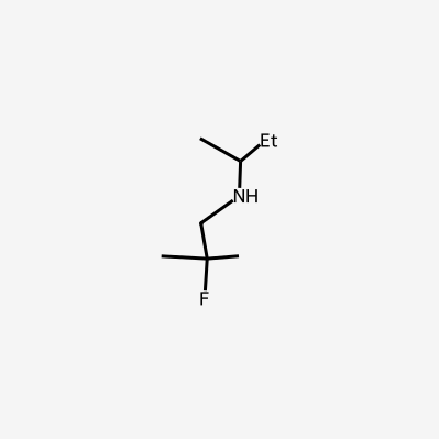 CCC(C)NCC(C)(C)F